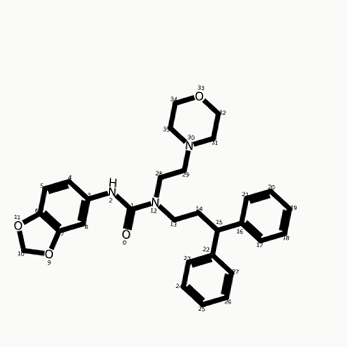 O=C(Nc1ccc2c(c1)OCO2)N(CCC(c1ccccc1)c1ccccc1)CCN1CCOCC1